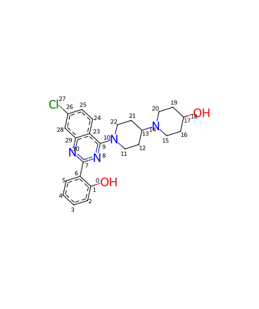 Oc1ccccc1-c1nc(N2CCC(N3CCC(O)CC3)CC2)c2ccc(Cl)cc2n1